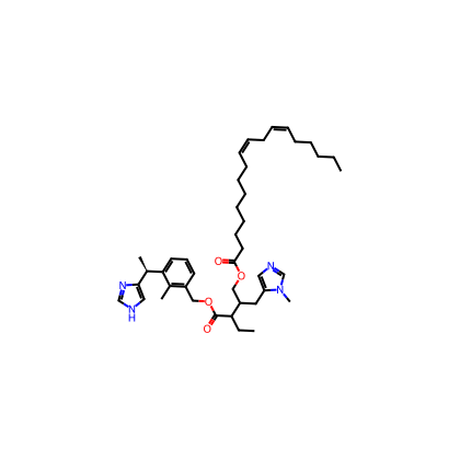 CCCCC/C=C\C/C=C\CCCCCCCC(=O)OCC(Cc1cncn1C)C(CC)C(=O)OCc1cccc([C@H](C)c2c[nH]cn2)c1C